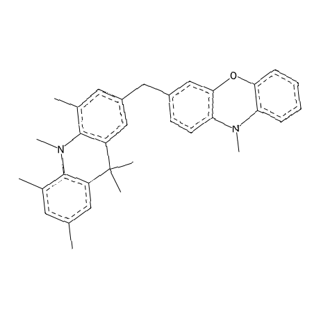 Cc1cc(C)c2c(c1)C(C)(C)c1cc(Cc3ccc4c(c3)Oc3ccccc3N4C)cc(C)c1N2C